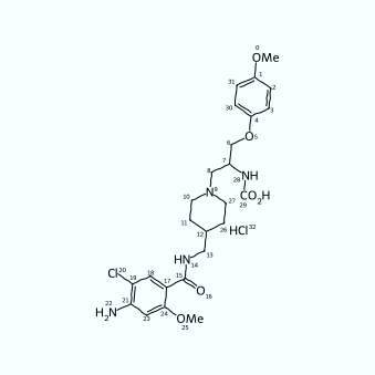 COc1ccc(OCC(CN2CCC(CNC(=O)c3cc(Cl)c(N)cc3OC)CC2)NC(=O)O)cc1.Cl